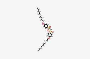 CCCCCCCCCCOc1ccc(S(=O)(=O)CS(=O)(=O)c2ccc(OCCCCCCCCCC)cc2)cc1